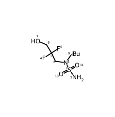 CCC(C)N(CC(F)(F)CO)S(N)(=O)=O